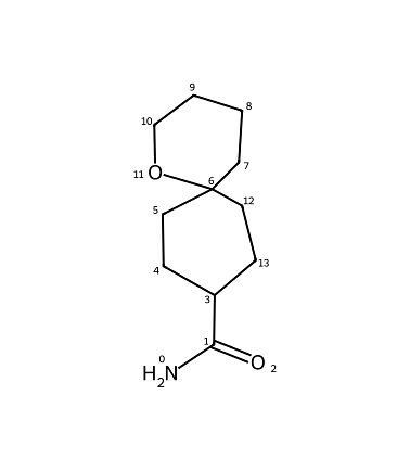 NC(=O)C1CCC2(CCCCO2)CC1